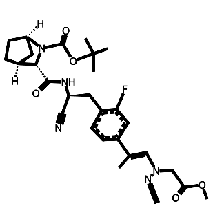 C=NN(/C=C(\C)c1ccc(C[C@@H](C#N)NC(=O)[C@@H]2[C@H]3CC[C@H](C3)N2C(=O)OC(C)(C)C)c(F)c1)CC(=O)OC